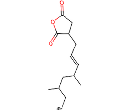 CC(C)CC(C)CC(C)/C=C/CC1CC(=O)OC1=O